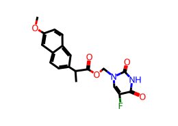 COc1ccc2cc(C(C)C(=O)OCn3cc(F)c(=O)[nH]c3=O)ccc2c1